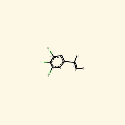 C/C=C(\C)c1cc(F)c(F)c(F)c1